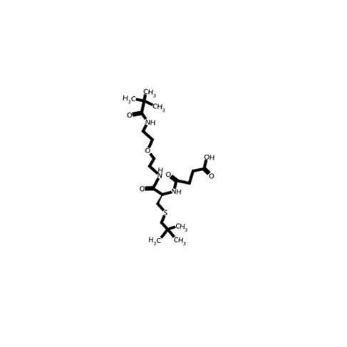 CC(C)(C)CSC[C@H](NC(=O)CCC(=O)O)C(=O)NCCOCCNC(=O)C(C)(C)C